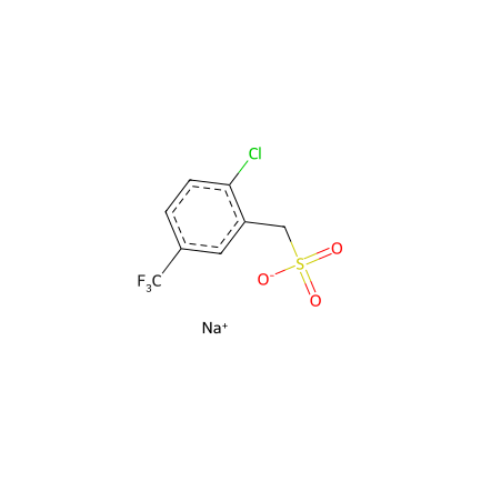 O=S(=O)([O-])Cc1cc(C(F)(F)F)ccc1Cl.[Na+]